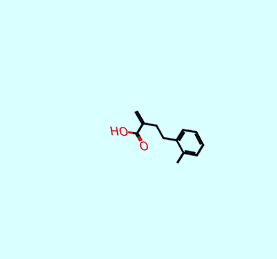 C=C(CCc1ccccc1C)C(=O)O